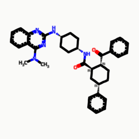 CN(C)c1nc(N[C@H]2CC[C@@H](NC(=O)[C@@H]3C[C@@H](c4ccccc4)CC[C@H]3C(=O)c3ccccc3)CC2)nc2ccccc12